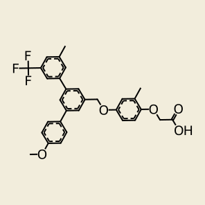 COc1ccc(-c2cc(COc3ccc(OCC(=O)O)c(C)c3)cc(-c3cc(C)cc(C(F)(F)F)c3)c2)cc1